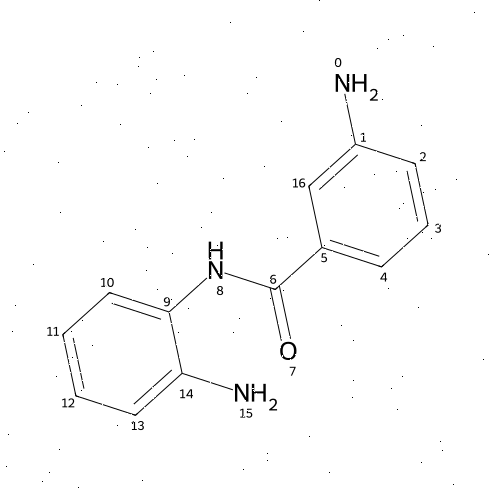 Nc1cccc(C(=O)Nc2ccccc2N)c1